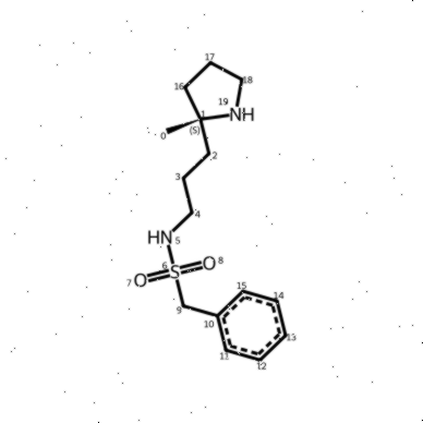 C[C@@]1(CCCNS(=O)(=O)Cc2ccccc2)CCCN1